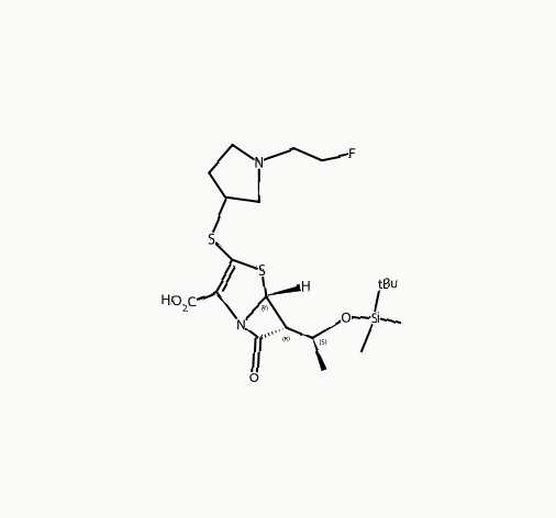 C[C@H](O[Si](C)(C)C(C)(C)C)[C@@H]1C(=O)N2C(C(=O)O)=C(SC3CCN(CCF)C3)S[C@H]12